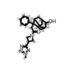 Cn1nnc(C2CN(C(=O)CC3(c4ccccc4)C4CC5CC3CC(C4)C5O)C2)n1